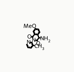 COc1ccc2c(c1)C(=O)N(c1ncccc1C)C(=O)C2N